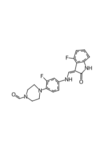 O=CN1CCN(c2ccc(N/C=C3\C(=O)Nc4cccc(F)c43)cc2F)CC1